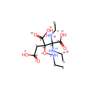 CCNOC(CC(=O)O)(C(=O)O)C(NCC)(NCC)C(=O)O